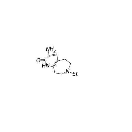 CCN1CCc2cc(N)c(=O)[nH]c2CC1